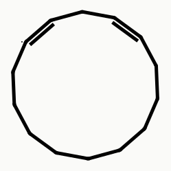 [C]1=CCC=CCCCCCCCCC1